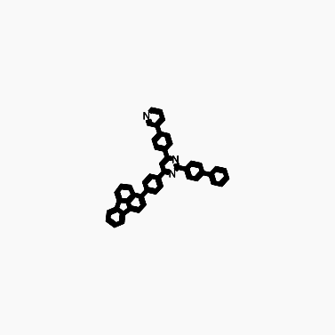 c1ccc(-c2ccc(-c3nc(-c4ccc(-c5cccnc5)cc4)cc(-c4ccc(-c5ccc6c7c(cccc57)-c5ccccc5-6)cc4)n3)cc2)cc1